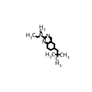 CCN(C)c1ncc2c(n1)CCC(CC(C)(C)C)C2